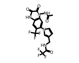 CC(=O)Nn1c(=O)c(=O)[nH]c2cc(C(F)(F)F)c(-n3ccc(CNC(=O)C(F)(F)F)c3)cc21